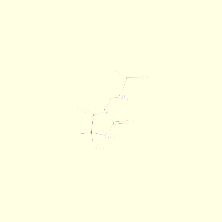 CCCCC1(C)NC(=O)N(CNC(C)C(C)C)C1=O